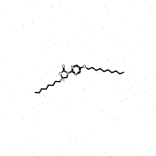 CCCCCCCCCCOc1cnc(N2C[C@@H](CCCCCCCC)OC2=O)nc1